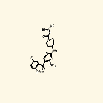 CCN(CC)CC(=O)N1CCC(Nc2ncc(C(=O)c3cc(F)ccc3OC)c(N)n2)CC1